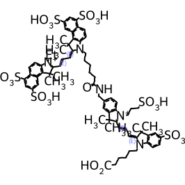 CC[N+]1=C(/C=C/C=C2/N(CCCCCC(=O)NCc3ccc4c(c3)C(C)(C)C(/C=C/C=C3/N(CCCCCC(=O)O)c5ccc(S(=O)(=O)O)cc5C3(C)C)=[N+]4CCCS(=O)(=O)O)c3ccc4c(S(=O)(=O)O)cc(S(=O)(=O)O)cc4c3C2(C)C)C(C)(C)c2c1ccc1c(S(=O)(=O)O)cc(S(=O)(=O)O)cc21